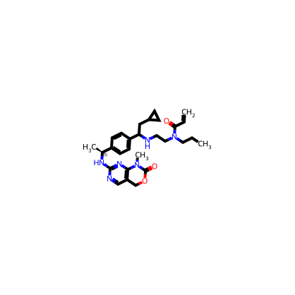 C=CC(=O)N(CCC)CCNC(CC1CC1)c1ccc([C@H](C)Nc2ncc3c(n2)N(C)C(=O)OC3)cc1